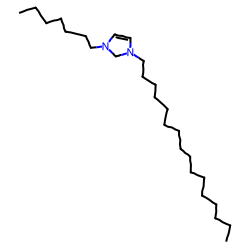 CCCCCCCCCCCCCCCCN1C=CN(CCCCCCC)C1